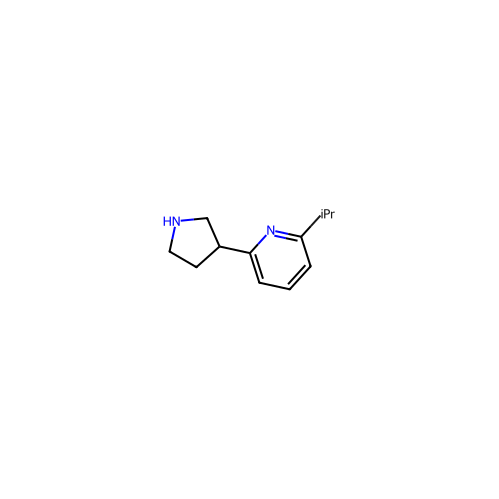 CC(C)c1cccc(C2CCNC2)n1